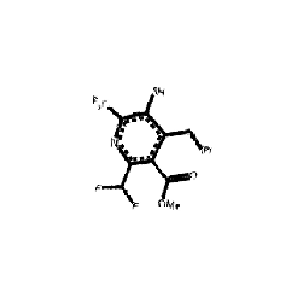 COC(=O)c1c(C(F)F)nc(C(F)(F)F)c(S)c1CC(C)C